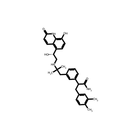 Cc1ccc(CC(C(N)=O)c2cccc(CC(C)(C)NC[C@H](O)c3ccc(O)c4[nH]c(=O)ccc34)c2)cc1C